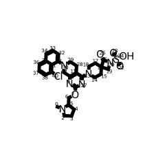 CN1CCCC1COc1nc2c(c(N3CCC4(CC3)CN(S(=O)(=O)O)C4=O)n1)CCN(c1cccc3cccc(Cl)c13)C2